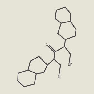 O=C(C(CBr)C1CCC2CCCCC2C1)C(CBr)C1CCC2CCCCC2C1